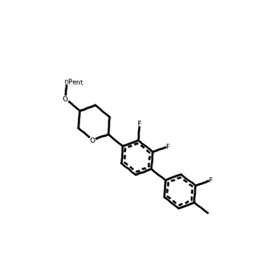 CCCCCOC1CCC(c2ccc(-c3ccc(C)c(F)c3)c(F)c2F)OC1